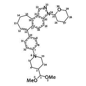 COC(OC)C1CCN(c2ccc(C3=CCCCc4c3ccc3c4cnn3C3CCCCO3)cc2)CC1